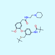 COc1ccc(CC(=O)NCCN2CCCCC2)cc1Oc1ccc(NC(=O)C(C)(C)C)cc1CSC(C)(C)C